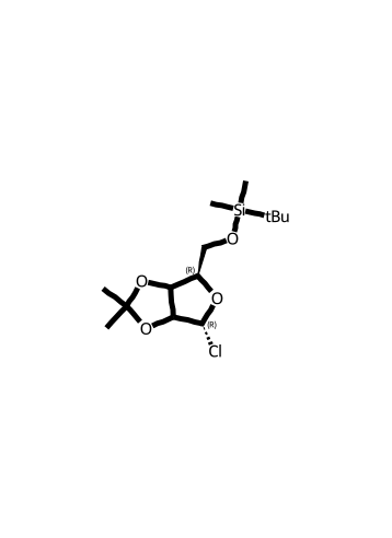 CC1(C)OC2C(O1)[C@@H](CO[Si](C)(C)C(C)(C)C)O[C@@H]2Cl